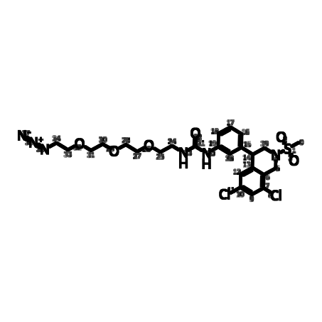 CS(=O)(=O)N1Cc2c(Cl)cc(Cl)cc2C(c2cccc(NC(=O)NCCOCCOCCOCCN=[N+]=[N-])c2)C1